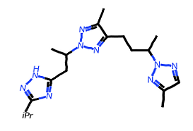 Cc1cnn(C(C)CCc2nn(C(C)Cc3nc(C(C)C)n[nH]3)nc2C)n1